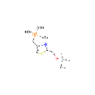 CCCC[PH](CCCC)(CCCC)Cc1csc(CO[Si](C)(C)C(C)(C)C)n1